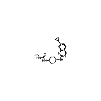 CCNC(=O)NC1CCC(Nc2ncc3ccc(C4CC4)nc3n2)CC1